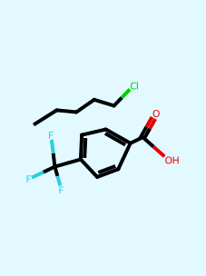 CCCCCCl.O=C(O)c1ccc(C(F)(F)F)cc1